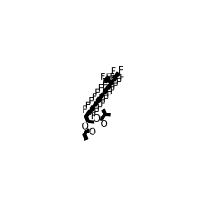 C=CC(=O)OC(COC(=O)C(=C)C)CC(F)(F)C(F)(F)C(F)(F)C(F)(F)C(F)(F)C(F)(F)C(F)(F)C(F)(C(F)(F)F)C(F)(F)C(F)(F)F